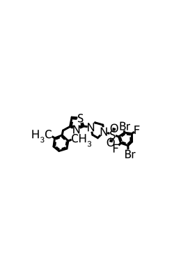 Cc1cccc(C)c1Cc1csc(N2CCN(S(=O)(=O)c3c(F)c(Br)cc(F)c3Br)CC2)n1